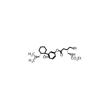 CCOC(=O)NC[C@H](CC(=O)Oc1cccc([C@]2(O)CCCC[C@H]2CN(C)C)c1)CC(C)C